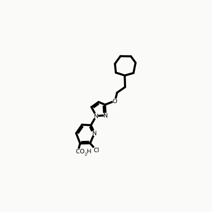 O=C(O)c1ccc(-n2ccc(OCCC3CCCCCC3)n2)nc1Cl